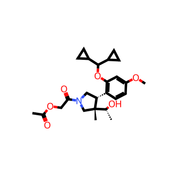 COc1ccc([C@H]2CN(C(=O)COC(C)=O)C[C@@]2(C)[C@@H](C)O)c(OC(C2CC2)C2CC2)c1